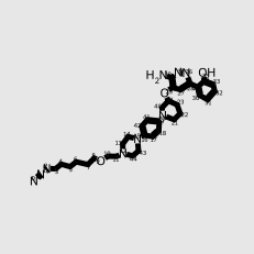 [N-]=[N+]=NCCCCCCOCCN1CCN(c2ccc(N3CCCC(Oc4cc(-c5ccccc5O)nnc4N)C3)cc2)CC1